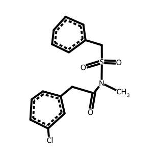 CN(C(=O)Cc1cccc(Cl)c1)S(=O)(=O)Cc1ccccc1